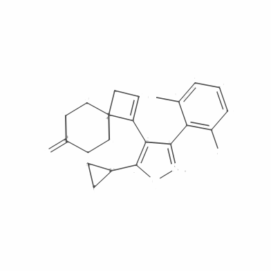 O=C1CCC2(CC=C2c2c(-c3c(Cl)cccc3Cl)noc2C2CC2)CC1